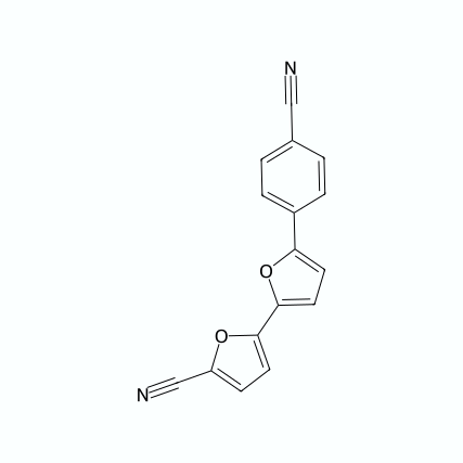 N#Cc1ccc(-c2ccc(-c3ccc(C#N)o3)o2)cc1